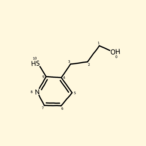 OCCCc1cccnc1S